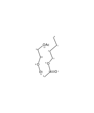 CCCCOC(C)=O.CCOCCOC(C)=O